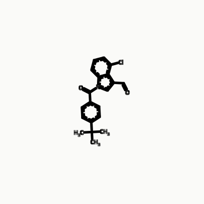 CC(C)(C)c1ccc(C(=O)n2cc(C=O)c3c(Cl)cccc32)cc1